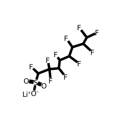 O=S(=O)([O-])C(F)C(F)(F)C(F)C(F)C(F)C(F)C(F)C(F)F.[Li+]